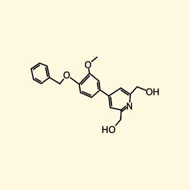 COc1cc(-c2cc(CO)nc(CO)c2)ccc1OCc1ccccc1